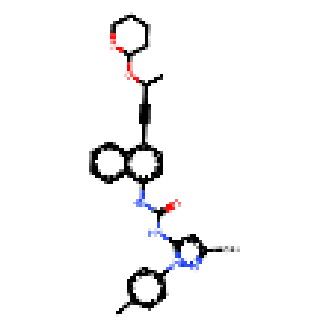 Cc1ccc(-n2nc(C(C)(C)C)cc2NC(=O)Nc2ccc(C#CC(C)OC3CCCCO3)c3ccccc23)cc1